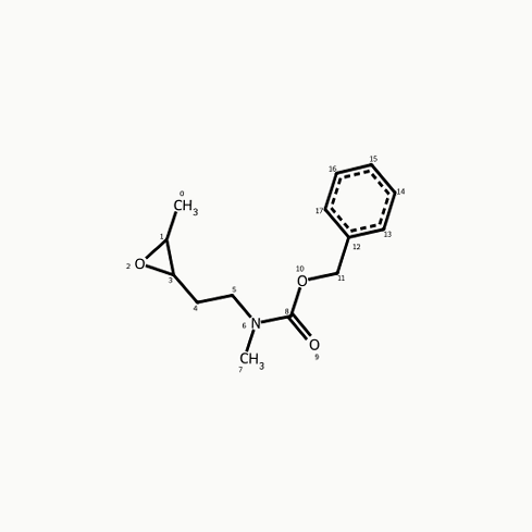 CC1OC1CCN(C)C(=O)OCc1ccccc1